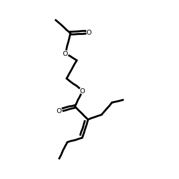 CCC=C(CCC)C(=O)OCCOC(C)=O